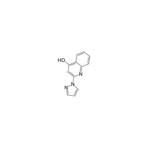 Oc1[c]c(-n2cccn2)nc2ccccc12